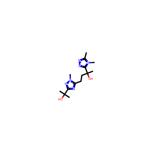 Cc1nnc(C(C)(O)CCc2nc(C(C)(C)O)nn2C)n1C